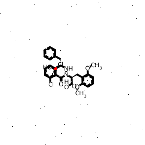 COc1cccc(OC)c1C[C@@H](C(=O)O)N(N[C@@H](Cc1ccccc1)C(=O)O)C(=O)c1c(Cl)cccc1Cl